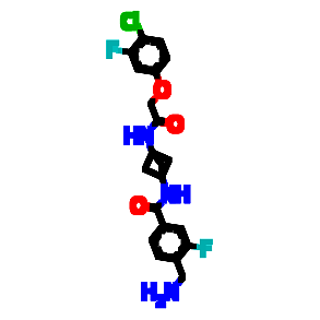 NCc1ccc(C(=O)NC23CC(NC(=O)COc4ccc(Cl)c(F)c4)(C2)C3)cc1F